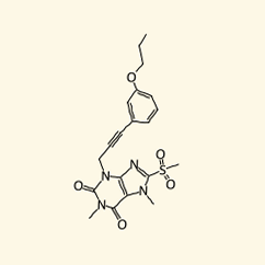 CCCOc1cccc(C#CCn2c(=O)n(C)c(=O)c3c2nc(S(C)(=O)=O)n3C)c1